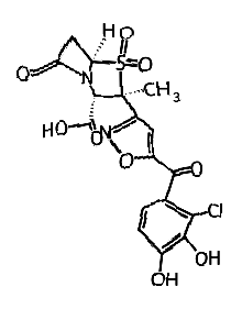 C[C@]1(c2cc(C(=O)c3ccc(O)c(O)c3Cl)on2)[C@H](C(=O)O)N2C(=O)C[C@H]2S1(=O)=O